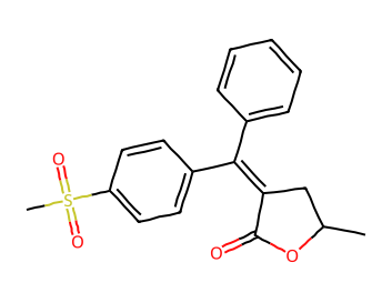 CC1CC(=C(c2ccccc2)c2ccc(S(C)(=O)=O)cc2)C(=O)O1